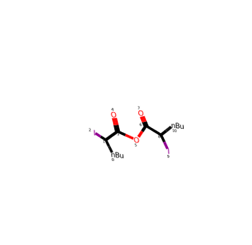 CCCCC(I)C(=O)OC(=O)C(I)CCCC